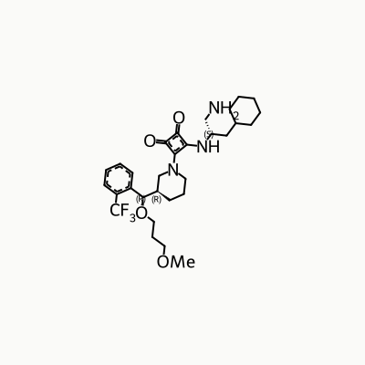 COCCCO[C@@H](c1ccccc1C(F)(F)F)[C@@H]1CCCN(c2c(N[C@H](CN)CC3CCCCC3)c(=O)c2=O)C1